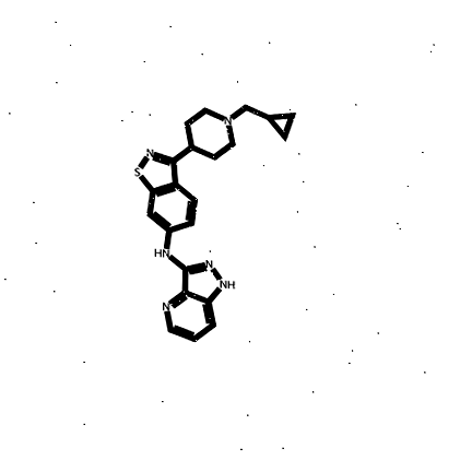 c1cnc2c(Nc3ccc4c(C5CCN(CC6CC6)CC5)nsc4c3)n[nH]c2c1